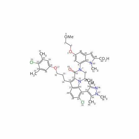 COCCOc1cc(N2C[C@@H](C)n3c(c(CCCOc4cc(C)c(Cl)c(C)c4)c4ccc(Cl)c(-c5c(C)nn(C)c5C)c43)C2=O)c2c(c1)cc(C(=O)O)n2C